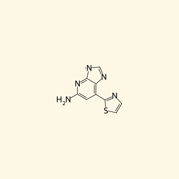 Nc1cc(-c2nccs2)c2c(n1)[N]C=N2